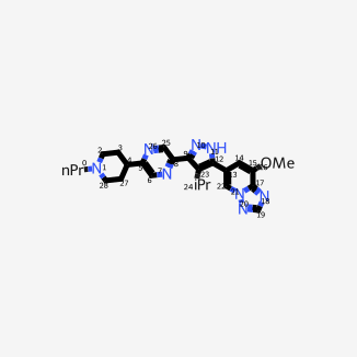 CCCN1CCC(c2cnc(-c3n[nH]c(-c4cc(OC)c5ncnn5c4)c3C(C)C)cn2)CC1